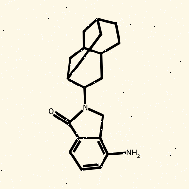 Nc1cccc2c1CN(C1CC3CCC4CC3CC1C4)C2=O